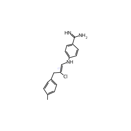 Cc1ccc(C/C(Cl)=C/Nc2ccc(C(=N)N)cc2)cc1